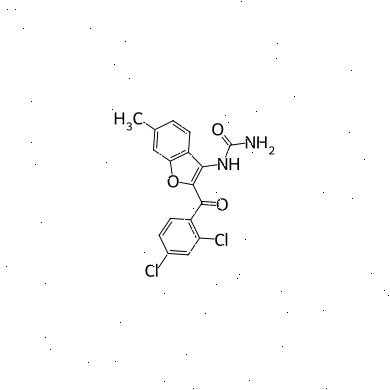 Cc1ccc2c(NC(N)=O)c(C(=O)c3ccc(Cl)cc3Cl)oc2c1